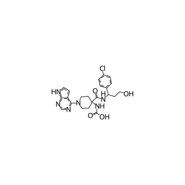 O=C(O)NC1(C(=O)NC(CCO)c2ccc(Cl)cc2)CCN(c2ncnc3[nH]ccc23)CC1